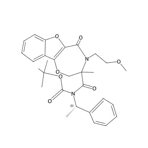 COCCN1C(=O)c2oc3ccccc3c2OCC1(C)C(=O)N(C(=O)OC(C)(C)C)[C@@H](C)c1ccccc1